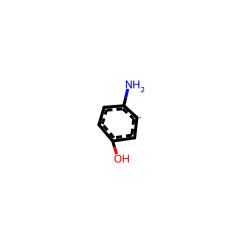 Nc1[c]cc(O)cc1